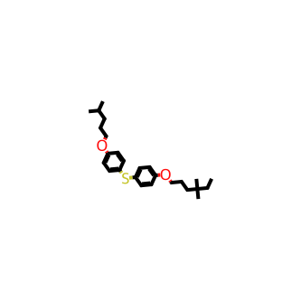 CCC(C)(C)CCCOc1ccc(Sc2ccc(OCCCC(C)C)cc2)cc1